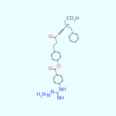 N=C(N=NN)Nc1ccc(C(=O)Oc2ccc(CCC(=O)C#C[C@@H](CC(=O)O)Cc3ccccc3)cc2)cc1